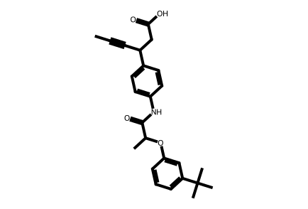 CC#CC(CC(=O)O)c1ccc(NC(=O)C(C)Oc2cccc(C(C)(C)C)c2)cc1